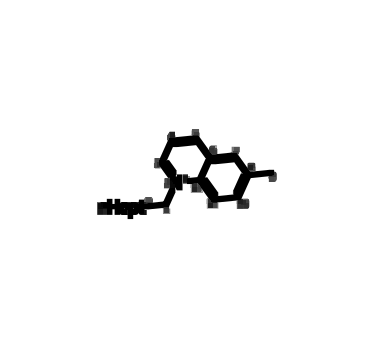 CCCCCCCC[n+]1cccc2cc(C)ccc21